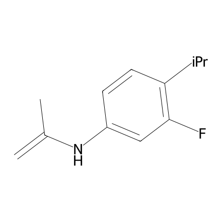 C=C(C)Nc1ccc(C(C)C)c(F)c1